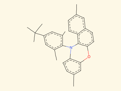 Cc1ccc2c(c1)Oc1ccc3cc(C)ccc3c1N2c1c(C)cc(C(C)(C)C)cc1C